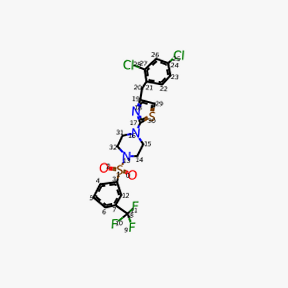 O=S(=O)(c1cccc(C(F)(F)F)c1)N1CCN(c2nc(Cc3ccc(Cl)cc3Cl)cs2)CC1